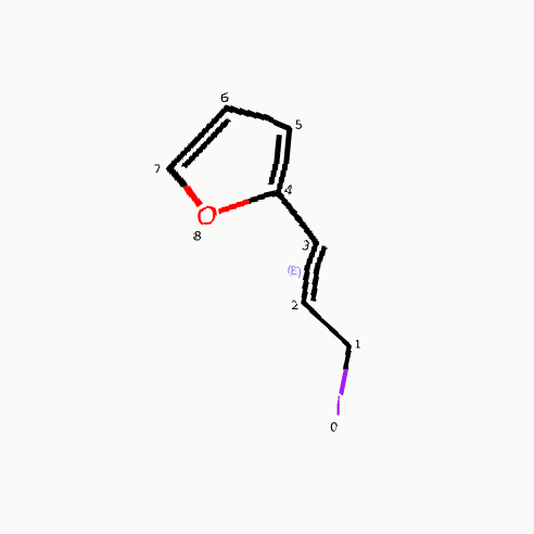 IC/C=C/c1ccco1